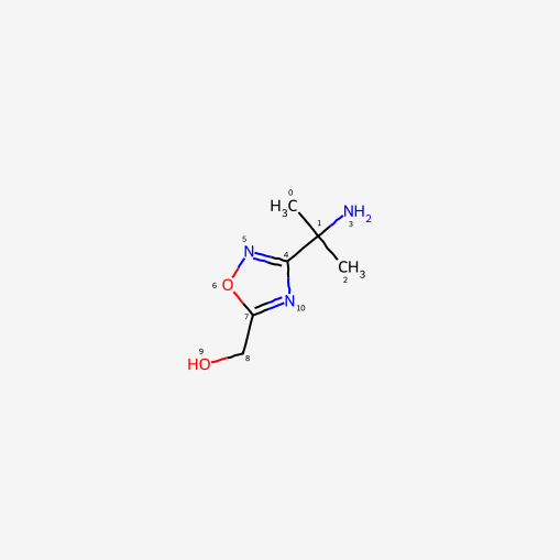 CC(C)(N)c1noc(CO)n1